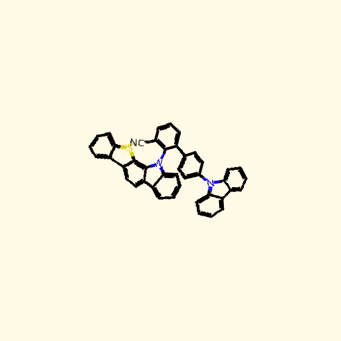 N#Cc1cccc(-c2ccc(-n3c4ccccc4c4ccccc43)cc2)c1-n1c2ccccc2c2ccc3c4ccccc4sc3c21